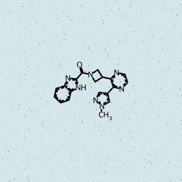 Cn1cc(-c2nccnc2C2CN(C(=O)c3nc4ccccc4[nH]3)C2)cn1